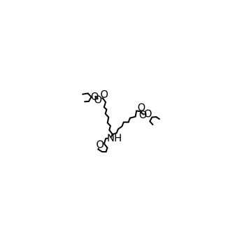 CCC(CC)OOC(=O)CCCCCCCCC(CCCCCCCCC(=O)OOC(CC)CC)NCC1CCCCO1